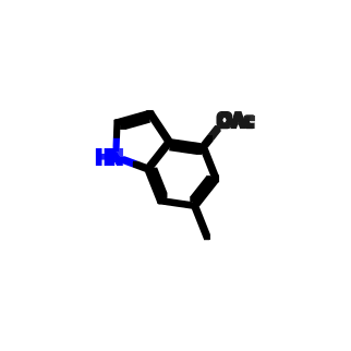 CC(=O)Oc1cc(C)cc2[nH]ccc12